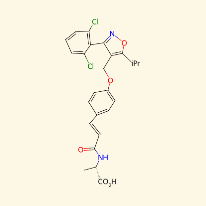 CC(C)c1onc(-c2c(Cl)cccc2Cl)c1COc1ccc(/C=C/C(=O)N[C@@H](C)C(=O)O)cc1